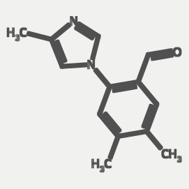 Cc1cn(-c2cc(C)c(C)cc2C=O)cn1